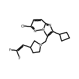 FC(F)=CC1CCN(Cc2c(C3CCC3)nc3ccc(Cl)nn23)C1